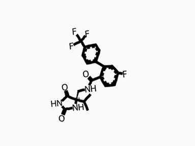 CC(C)[C@]1(CNC(=O)c2ccc(F)cc2-c2ccc(C(F)(F)F)cc2)NC(=O)NC1=O